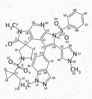 CN1C(=O)C2(CCN(S(=O)(=O)C3(CI)CC3)C2)c2c1cnc1c2c(-c2ccc3c(cnn3C)c2)c(-c2cnn(C)c2)n1S(=O)(=O)c1ccccc1